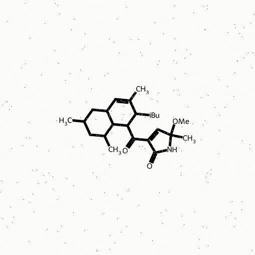 CCC(C)C1C(C)=CC2CC(C)CC(C)C2C1C(=O)C1=CC(C)(OC)NC1=O